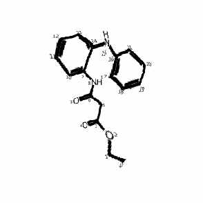 CCOC(=O)CC(=O)Nc1ccccc1Nc1ccccc1